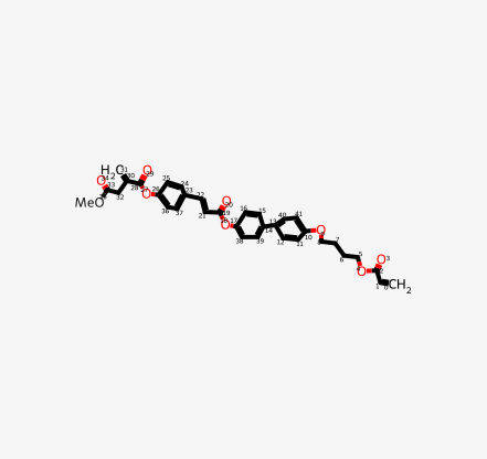 C=CC(=O)OCCCCOc1ccc(-c2ccc(OC(=O)/C=C/c3ccc(OC(=O)C(=C)CC(=O)OC)cc3)cc2)cc1